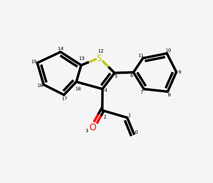 C=CC(=O)c1c(-c2ccccc2)sc2ccccc12